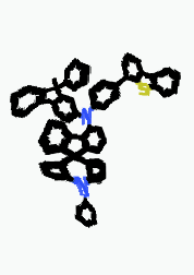 CC1(c2ccccc2)c2ccccc2-c2ccc(N(c3ccc(-c4cccc5c4sc4ccccc45)cc3)c3cccc4c3-c3ccccc3C43c4ccccc4N(c4ccccc4)c4ccccc43)cc21